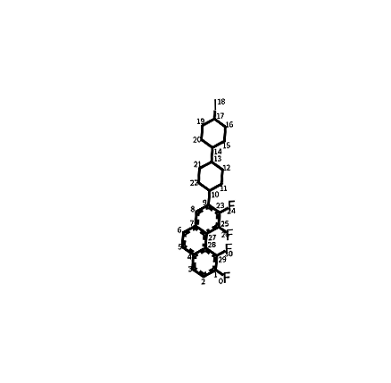 Fc1ccc2ccc3cc(C4CCC(C5CCC(I)CC5)CC4)c(F)c(F)c3c2c1F